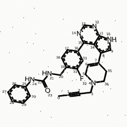 CC#CCN1CC=C(c2c[nH]c3ncnc(-c4ccc(CNC(=O)Nc5ccccc5)c(F)c4)c23)CC1